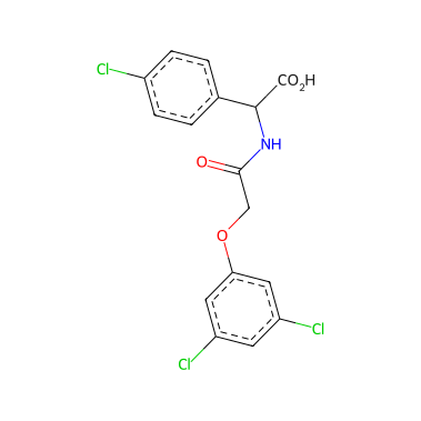 O=C(COc1cc(Cl)cc(Cl)c1)NC(C(=O)O)c1ccc(Cl)cc1